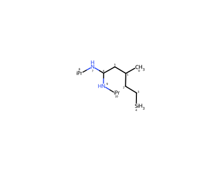 CC(CC[SiH3])CC(NC(C)C)NC(C)C